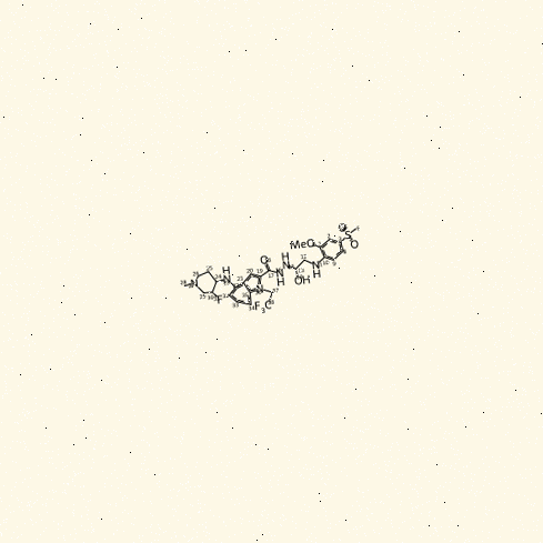 COc1cc(S(C)(=O)=O)ccc1NCC(O)NNC(=O)c1cc2c(N[C@@H]3CCN(C)C[C@@H]3F)cccc2n1CC(F)(F)F